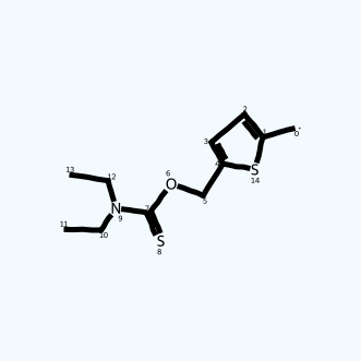 [CH2]c1ccc(COC(=S)N(CC)CC)s1